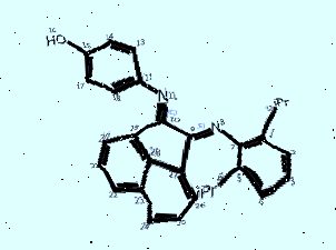 CC(C)c1cccc(C(C)C)c1/N=C1/C(=N/c2ccc(O)cc2)c2cccc3cccc1c23